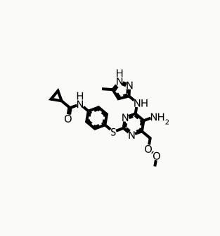 COOCc1nc(Sc2ccc(NC(=O)C3CC3)cc2)nc(Nc2cc(C)[nH]n2)c1N